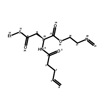 C=CCCC(=O)N[C@@H](CC(=O)SCC)C(=O)OCCN=C